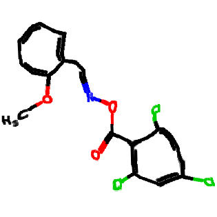 COc1ccccc1/C=N/OC(=O)c1c(Cl)cc(Cl)cc1Cl